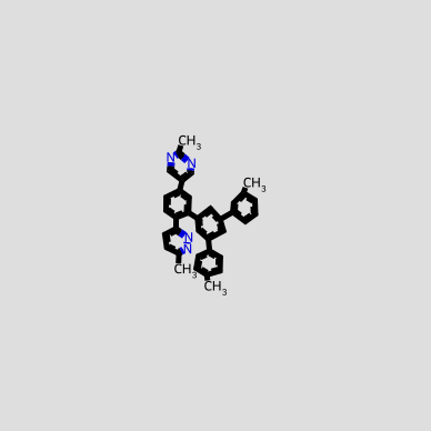 Cc1ccc(-c2cc(-c3cccc(C)c3)cc(-c3cc(-c4cnc(C)nc4)ccc3-c3ccc(C)nn3)c2)cc1